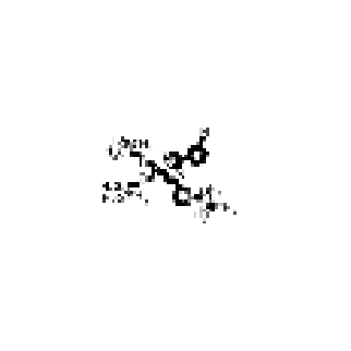 CC(C)(C)OC(=O)N1CCCC(c2cc(N(COCC[Si](C)(C)C)COCC[Si](C)(C)C)n3ncc(-c4cccc(C#N)c4)c3n2)C1